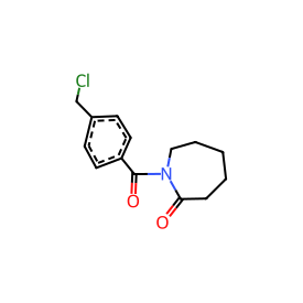 O=C1CCCCCN1C(=O)c1ccc(CCl)cc1